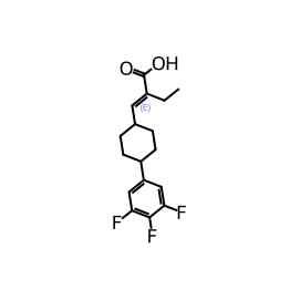 CC/C(=C\C1CCC(c2cc(F)c(F)c(F)c2)CC1)C(=O)O